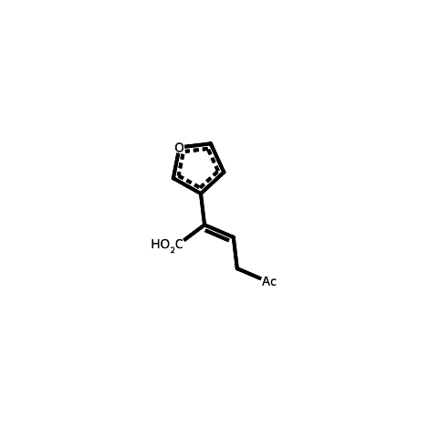 CC(=O)CC=C(C(=O)O)c1ccoc1